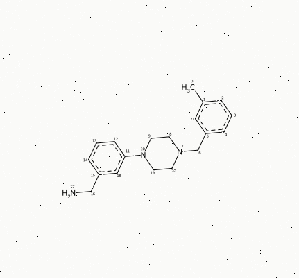 Cc1cccc(CN2CCN(c3cccc(CN)c3)CC2)c1